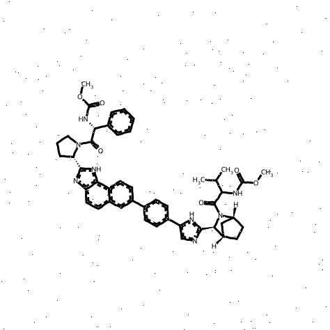 COC(=O)NC(C(=O)N1[C@@H]2CC[C@@H](C2)[C@H]1c1ncc(-c2ccc(-c3ccc4c(ccc5nc([C@@H]6CCCN6C(=O)[C@H](NC(=O)OC)c6ccccc6)[nH]c54)c3)cc2)[nH]1)C(C)C